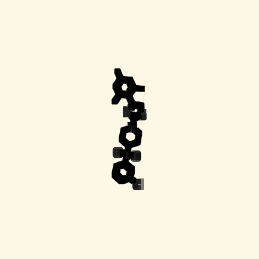 Cc1cc(C)c(-c2csc(N3CCC(S(=O)(=O)c4cccc(Cl)c4)CC3)n2)c(C)c1